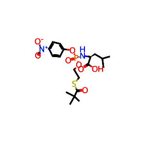 CC(C)C[C@H](NP(=O)(OCCSC(=O)C(C)(C)C)Oc1ccc([N+](=O)[O-])cc1)C(=O)O